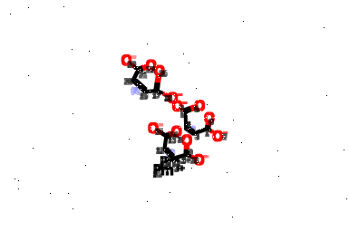 O=C([O-])/C=C\C(=O)[O-].O=C([O-])/C=C\C(=O)[O-].O=C([O-])/C=C\C(=O)[O-].[Pm+3].[Pm+3]